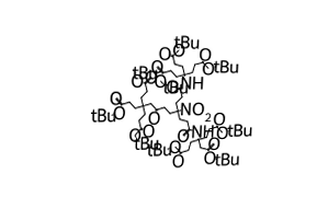 CC(C)(C)OC(=O)CCC(CCC(=O)OC(C)(C)C)(CCC(=O)OC(C)(C)C)CC(=O)CCC(CCC(=O)NC(CCC(=O)OC(C)(C)C)(CCC(=O)OC(C)(C)C)CCC(=O)OC(C)(C)C)(CCC(=O)NC(CCC(=O)OC(C)(C)C)(CCC(=O)OC(C)(C)C)CC(=O)OC(C)(C)C)[N+](=O)[O-]